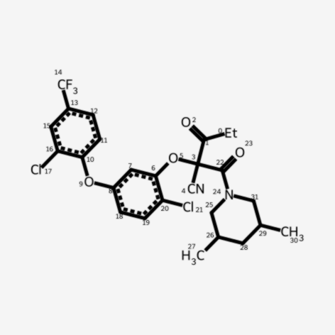 CCC(=O)C(C#N)(Oc1cc(Oc2ccc(C(F)(F)F)cc2Cl)ccc1Cl)C(=O)N1CC(C)CC(C)C1